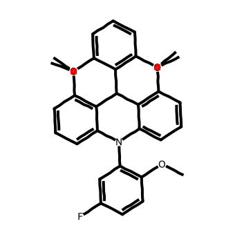 COc1ccc(F)cc1N1c2cccc(OC)c2C(c2c(OC)cccc2OC)c2c(OC)cccc21